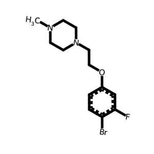 CN1CCN(CCOc2ccc(Br)c(F)c2)CC1